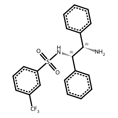 N[C@@H](c1ccccc1)[C@@H](NS(=O)(=O)c1cccc(C(F)(F)F)c1)c1ccccc1